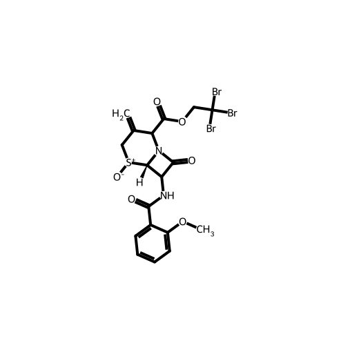 C=C1C[S+]([O-])[C@H]2C(NC(=O)c3ccccc3OC)C(=O)N2C1C(=O)OCC(Br)(Br)Br